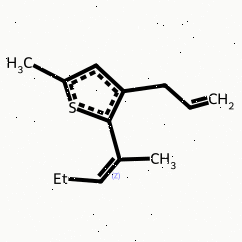 C=CCc1cc(C)sc1/C(C)=C\CC